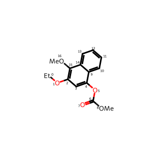 CCOc1cc(OC(=O)OC)c2ccccc2c1OC